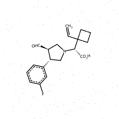 C=CC1([C@H](C(=O)O)N2C[C@H](c3cccc(F)c3)[C@@H](C=O)C2)CCC1